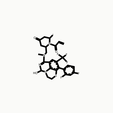 C=CC(=O)N1C(I)CC(=O)CC1CN(C)C1=NC(O)N2CCSc3c(-c4ccc(F)cc4F)c(C(F)(F)F)cc1c32